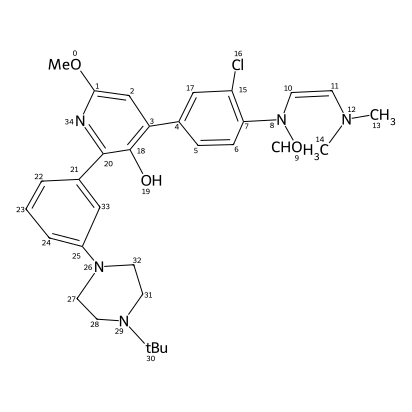 COc1cc(-c2ccc(N(C=O)/C=C\N(C)C)c(Cl)c2)c(O)c(-c2cccc(N3CCN(C(C)(C)C)CC3)c2)n1